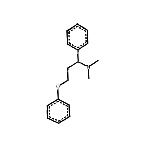 CN(C)C(CCOc1ccccc1)c1ccccc1